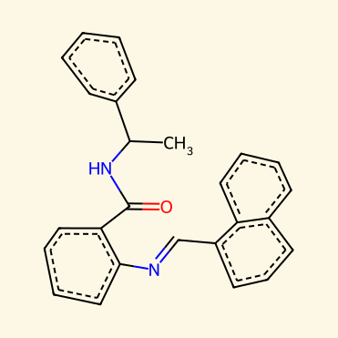 CC(NC(=O)c1ccccc1N=Cc1cccc2ccccc12)c1ccccc1